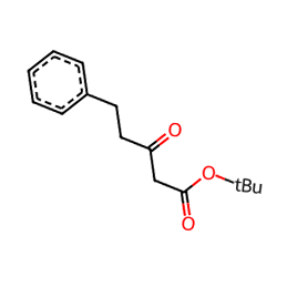 CC(C)(C)OC(=O)CC(=O)CCc1ccccc1